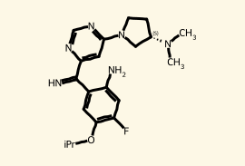 CC(C)Oc1cc(C(=N)c2cc(N3CC[C@H](N(C)C)C3)ncn2)c(N)cc1F